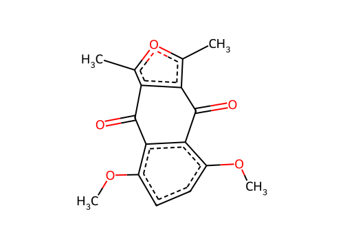 COc1ccc(OC)c2c1C(=O)c1c(C)oc(C)c1C2=O